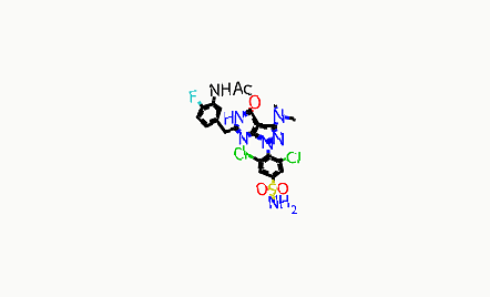 CC(=O)Nc1cc(Cc2nc3c(c(N(C)C)nn3-c3c(Cl)cc(S(N)(=O)=O)cc3Cl)c(=O)[nH]2)ccc1F